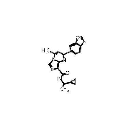 Cc1cc(-c2ccc3ncoc3c2)nc2c(C(=O)NC(C)C3CC3)ncn12